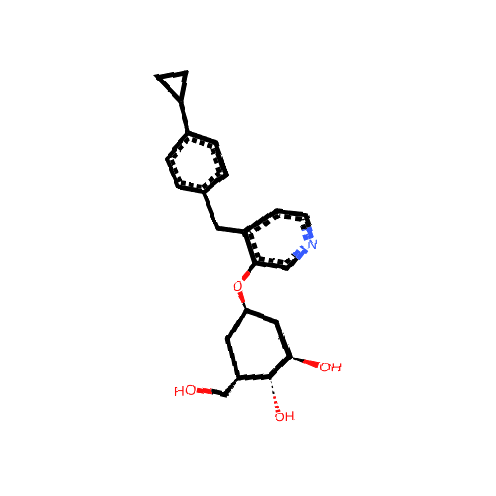 OC[C@H]1C[C@@H](Oc2cnccc2Cc2ccc(C3CC3)cc2)C[C@@H](O)[C@@H]1O